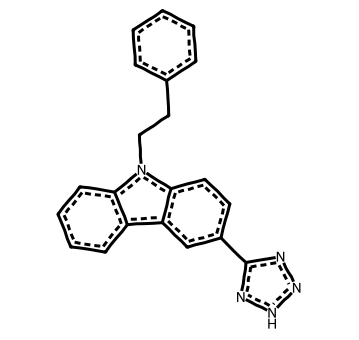 c1ccc(CCn2c3ccccc3c3cc(-c4nn[nH]n4)ccc32)cc1